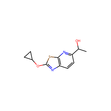 CC(O)c1ccc2nc(OC3CC3)sc2n1